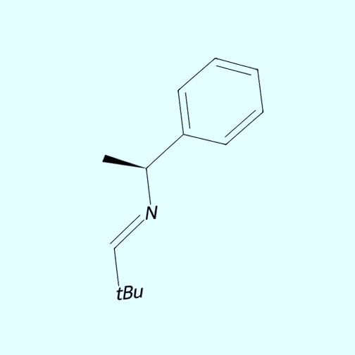 C[C@H](/N=C/C(C)(C)C)c1ccccc1